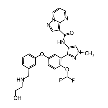 Cn1cc(NC(=O)c2cnn3cccnc23)c(-c2cc(Oc3cccc(CNCCO)c3)ccc2OC(F)F)n1